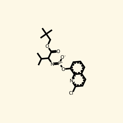 CC(C)C(/N=[P+](\[O-])Oc1cccc2ccc(Cl)nc12)C(=O)OCC(C)(C)C